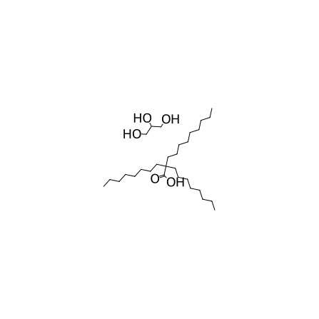 CCCCCCCCCC(CCCCCCCC)(CCCCCCCC)C(=O)O.OCC(O)CO